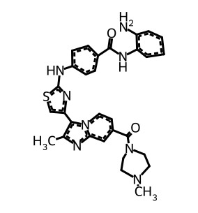 Cc1nc2cc(C(=O)N3CCN(C)CC3)ccn2c1-c1csc(Nc2ccc(C(=O)Nc3ccccc3N)cc2)n1